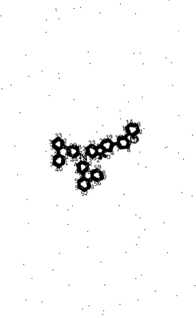 CC1(C)c2cc(-c3ccc4oc5ccccc5c4c3)ccc2-c2ccc(N(c3ccc(-c4ccccc4-c4ccccc4)cc3)c3ccc(-c4ccccc4-c4ccccc4)cc3)cc21